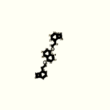 C1=Cc2c1cccc2CCOc1cccc2c(OCCc3cccc4c3C=C4)cccc12